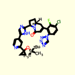 CC(C)(C)[Si](C)(C)OC1(c2cc(-c3cnc(C4CC[C@@H]5CC(c6c(-n7cnnn7)ccc(Cl)c6F)=CC(=O)N45)[nH]3)ccn2)CC1